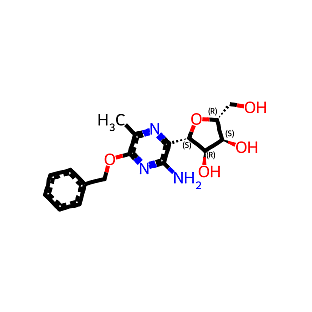 Cc1nc([C@@H]2O[C@H](CO)[C@@H](O)[C@H]2O)c(N)nc1OCc1ccccc1